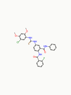 COc1cc(OC)c(NC(=S)Nc2ccc(NC(=O)c3ccccc3F)c(C(=O)Nc3ccccc3)c2)cc1Cl